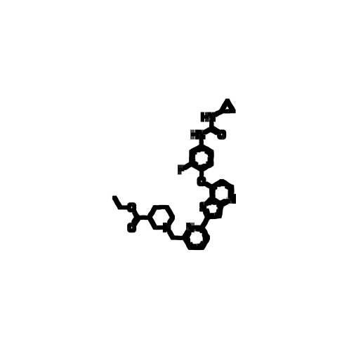 CCOC(=O)C1CCCN(Cc2cccc(-c3cc4nccc(Oc5ccc(NC(=O)NC6CC6)cc5F)c4s3)n2)C1